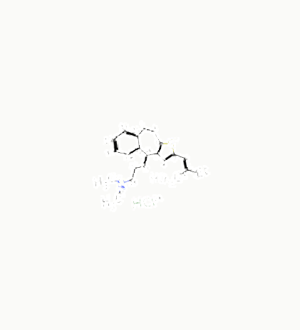 CCC(=Cc1cc2c(s1)CCc1ccccc1C2=CCCN(C)C)C(=O)O.Cl